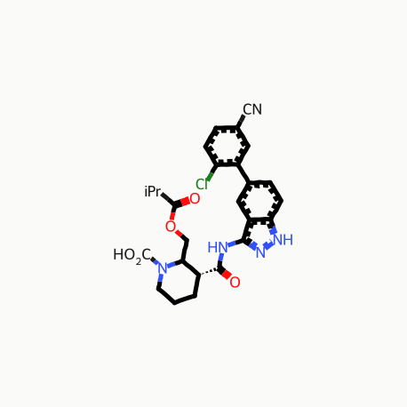 CC(C)C(=O)OCC1[C@H](C(=O)Nc2n[nH]c3ccc(-c4cc(C#N)ccc4Cl)cc23)CCCN1C(=O)O